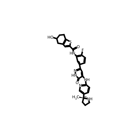 C[C@]1(c2ccc(Nc3cc(-c4ccc(F)c(NC(=O)c5cc6c(s5)CCC(O)C6)c4)n[nH]c3=O)nc2)CCCN1